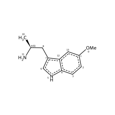 COc1ccc2[nH]cc(C[C@H](C)N)c2c1